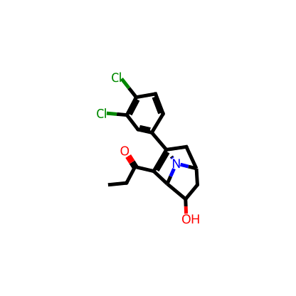 CCC(=O)C1=C(c2ccc(Cl)c(Cl)c2)CC2CC(O)C1N2C